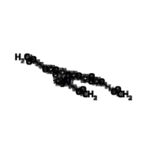 C=CC(=O)OCCCCCCOc1ccc(OC(=O)C2CCC(COc3ccc(OCC4CCC(C(=O)Oc5ccc(OCCCCCCOC(=O)C=C)cc5)CC4)c(/C=N/N(CCCCCCOC(=O)C=C)c4nc5ccccc5s4)c3)CC2)cc1